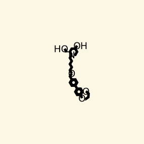 OC[C@H]1CC(O)CCN1CCCCCOCc1ccc(-c2ccc3c(c2)OCCCO3)cc1